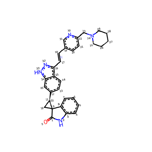 O=C1Nc2ccccc2C12C[C@H]2c1ccc2c(/C=C/c3ccc(CN4CCCCC4)nc3)n[nH]c2c1